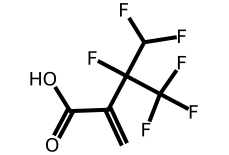 C=C(C(=O)O)C(F)(C(F)F)C(F)(F)F